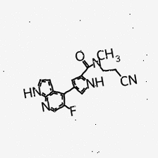 CN(CCC#N)C(=O)c1cc(-c2c(F)cnc3[nH]ccc23)c[nH]1